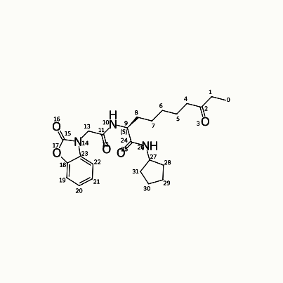 CCC(=O)CCCCC[C@H](NC(=O)Cn1c(=O)oc2ccccc21)C(=O)NC1CCCC1